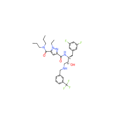 CCCN(CCC)C(=O)c1cc(C(=O)N[C@@H](Cc2cc(F)cc(F)c2)[C@H](O)CNCc2cccc(C(F)(F)F)c2)nn1CC